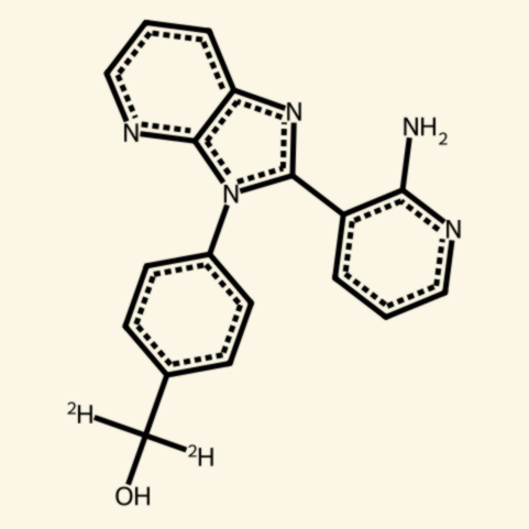 [2H]C([2H])(O)c1ccc(-n2c(-c3cccnc3N)nc3cccnc32)cc1